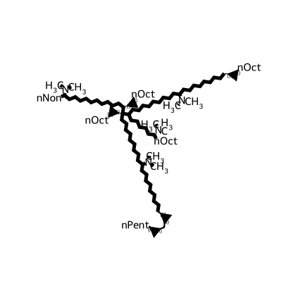 CCCCCCCCCC(CCCCCCCCCCC([C@H]1C[C@H]1CCCCCCCC)C(CCCCCCCCCC(CCCCCCCCC[C@H]1C[C@H]1C[C@H]1C[C@H]1CCCCC)N(C)C)(C(CCCCCCCCCC(CCCCCCCCC[C@H]1C[C@H]1CCCCCCCC)N(C)C)CCCCCC(CCCCCCCC)N(C)C)[C@H]1C[C@H]1CCCCCCCC)N(C)C